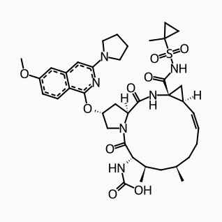 COc1ccc2c(O[C@@H]3C[C@H]4C(=O)N[C@]5(C(=O)NS(=O)(=O)C6(C)CC6)C[C@H]5C=CCC[C@@H](C)C[C@@H](C)[C@H](NC(=O)O)C(=O)N4C3)nc(N3CCCC3)cc2c1